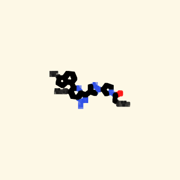 COCC(=O)N1CCC(n2cc(-c3n[nH]c4cc(OC)c(-c5cccc6c5CCC6C#N)nc34)cn2)C1